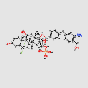 C[C@]12C=CC(=O)C=C1[C@@H](F)C[C@H]1[C@@H]3C[C@H]4O[C@@H](c5ccc(Cc6ccc(CO)c(N)c6)cc5)O[C@@]4(C(=O)COP(=O)(O)O)[C@@]3(C)C[C@H](O)[C@@]12F